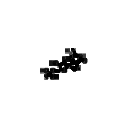 Nc1nc2c(ncn2[C@@H]2O[C@H](COP(O)(O)=S)[C@@H](O)C2O)c(=O)[nH]1